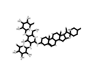 CC1CCC2(NC1)OC1CC3C4CC=C5CC(OC6OC(CO)C(OC7OC(C)C(O)C(O)C7O)C(O)C6OC6OC(C)C(O)C(O)C6O)CCC5(C)C4CCC3(C)C1C2C